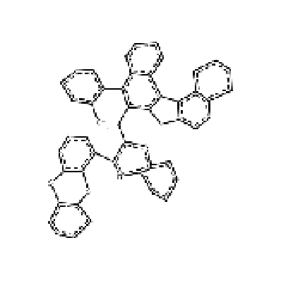 Cc1ccccc1-c1c(Cc2nc3ccccc3nc2-c2cccc3c2Sc2ccccc2S3)c2c(c3ccccc13)-c1c(ccc3ccccc13)C2